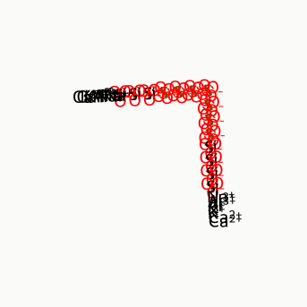 O=S(=O)([O-])[O-].O=S(=O)([O-])[O-].O=S(=O)([O-])[O-].O=S(=O)([O-])[O-].O=S(=O)([O-])[O-].O=S(=O)([O-])[O-].O=S(=O)([O-])[O-].O=[Si]([O-])[O-].O=[Si]([O-])[O-].O=[Si]([O-])[O-].O=[Si]([O-])[O-].O=[Si]([O-])[O-].O=[Si]([O-])[O-].O=[Si]([O-])[O-].[Al+3].[Al+3].[Al+3].[Al+3].[Ca+2].[Ca+2].[Ca+2].[Ca+2].[K+].[K+].[K+].[K+].[Na+].[Na+].[Na+].[Na+]